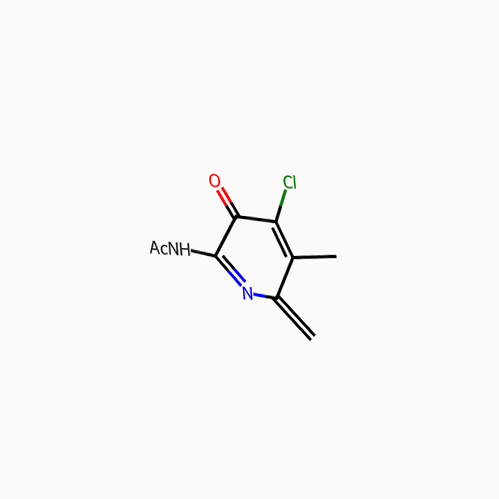 C=C1N=C(NC(C)=O)C(=O)C(Cl)=C1C